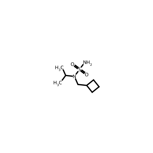 CC(C)N(CC1CCC1)S(N)(=O)=O